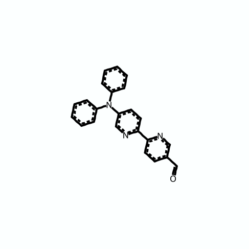 O=Cc1ccc(-c2ccc(N(c3ccccc3)c3ccccc3)cn2)nc1